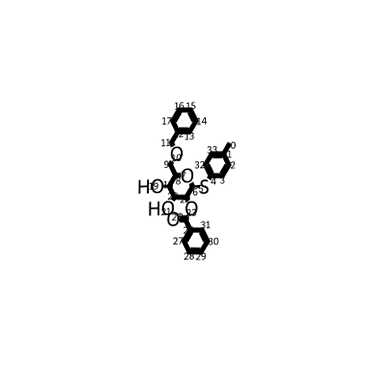 Cc1ccc(S[C@@H]2OC(COCc3ccccc3)[C@H](O)C(O)C2OC(=O)c2ccccc2)cc1